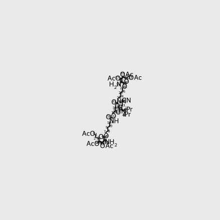 CC(=O)OCC[C@H]1O[C@@H](OCCCCCNC(=O)OCC(COC(=O)NCCCCCO[C@@H]2O[C@H](COC(C)=O)[C@H](OC(C)=O)[C@H](OC(C)=O)[C@H]2N)OP(OCCC#N)N(C(C)C)C(C)C)[C@H](N)[C@@H](OC(C)=O)[C@H]1OC(C)=O